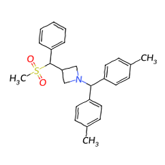 Cc1ccc(C(c2ccc(C)cc2)N2CC(C(c3ccccc3)S(C)(=O)=O)C2)cc1